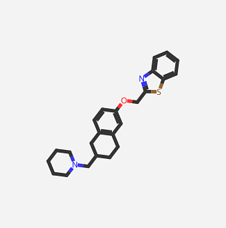 c1ccc2sc(COc3ccc4c(c3)CCC(CN3CCCCC3)C4)nc2c1